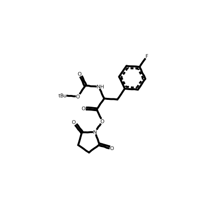 CC(C)(C)OC(=O)NC(Cc1ccc(F)cc1)C(=O)ON1C(=O)CCC1=O